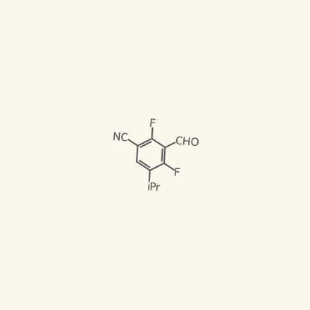 CC(C)c1cc(C#N)c(F)c(C=O)c1F